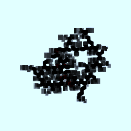 CC[C@H](C)[C@H](NC(=O)[C@@H](NC(=O)[C@H](CC(C)C)NC(=O)[C@H](CCCNC(=N)N)NC(=O)CNC(=O)[C@H](CCCCN)NC(=O)[C@H](C)N)[C@@H](C)O)C(=O)N[C@@H](CO)C(=O)N[C@@H](CCCCN)C(=O)N[C@H](C(=O)N[C@@H](CO)C(=O)N[C@H](C(=O)N[C@H](C(=O)N[C@H](C(=O)N[C@@H](CCC(=O)O)C(=O)N[C@@H](CC(C)C)C(=O)N[C@@H](CCCCN)C(=O)N[C@@H](CCSC)C(=O)N[C@H](C(=O)N[C@@H](CO)C(=O)O)[C@@H](C)O)C(C)C)[C@@H](C)O)[C@@H](C)O)[C@@H](C)O